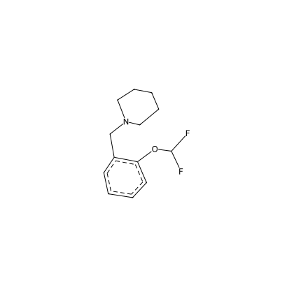 FC(F)Oc1ccccc1CN1CCCCC1